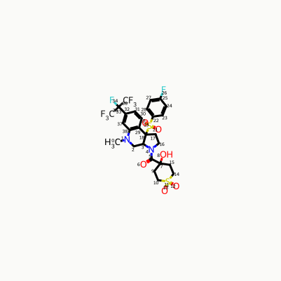 CN1CC2N(C(=O)C3(O)CCS(=O)(=O)CC3)CCC2(S(=O)(=O)c2ccc(F)cc2)c2ccc(C(F)(C(F)(F)F)C(F)(F)F)cc21